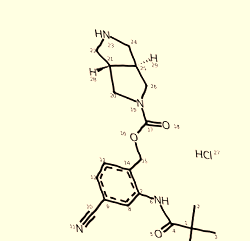 CC(C)(C)C(=O)Nc1cc(C#N)ccc1COC(=O)N1C[C@@H]2CNC[C@H]2C1.Cl